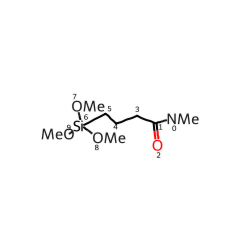 CNC(=O)CCC[Si](OC)(OC)OC